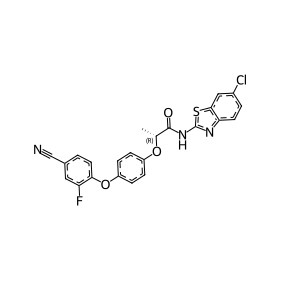 C[C@@H](Oc1ccc(Oc2ccc(C#N)cc2F)cc1)C(=O)Nc1nc2ccc(Cl)cc2s1